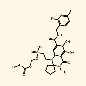 CC(C)OC(=O)OCOP(=O)(O)CCN1N2C=C(C(=O)NCc3ccc(F)cc3F)C(O)C(O)=C2C(=O)N(C)C12CCCC2